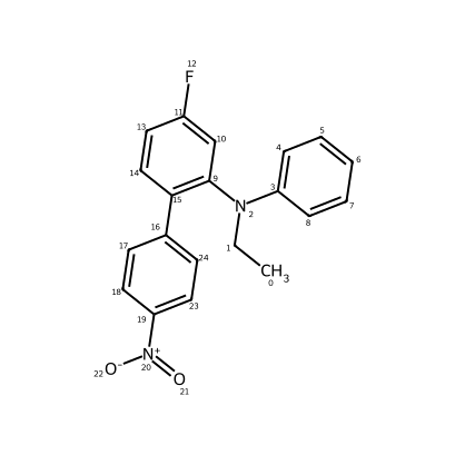 CCN(c1ccccc1)c1cc(F)ccc1-c1ccc([N+](=O)[O-])cc1